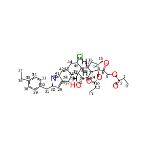 CCC(=O)OCC(=O)[C@@]1(OC(=O)CC)[C@H](C)C[C@H]2[C@H]3[C@H]([C@@H](O)C[C@@]21C)[C@@]1(C)CC2=CC(Cc4ccc(CC)cc4)N=C2C=C1C[C@H]3Cl